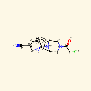 C[C@@H]1CC2CN(C(=O)CCl)CC1N2c1ccc(C#N)cn1